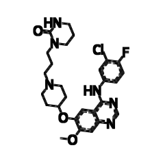 COc1cc2ncnc(Nc3ccc(F)c(Cl)c3)c2cc1OC1CCN(CCCN2CCCNC2=O)CC1